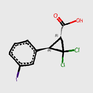 O=C(O)[C@H]1[C@H](c2cccc(I)c2)C1(Cl)Cl